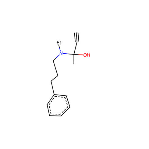 C#CC(C)(O)N(CC)CCCc1ccccc1